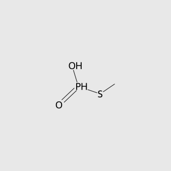 CS[PH](=O)O